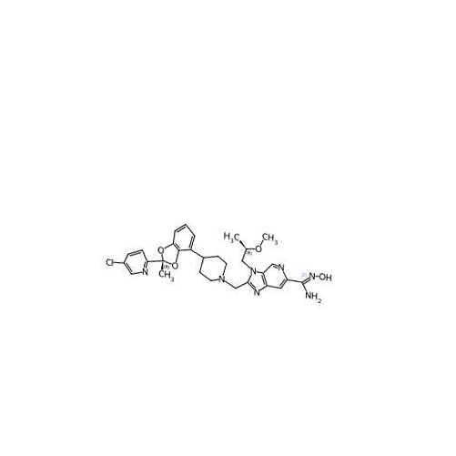 CO[C@H](C)Cn1c(CN2CCC(c3cccc4c3O[C@](C)(c3ccc(Cl)cn3)O4)CC2)nc2cc(/C(N)=N/O)ncc21